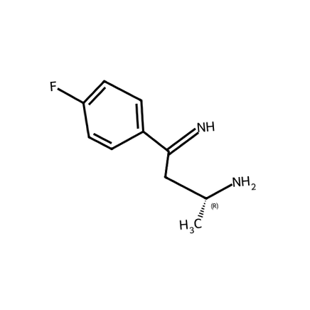 C[C@@H](N)CC(=N)c1ccc(F)cc1